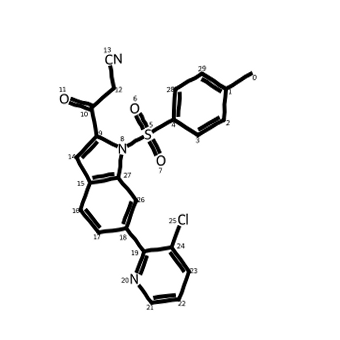 Cc1ccc(S(=O)(=O)n2c(C(=O)CC#N)cc3ccc(-c4ncccc4Cl)cc32)cc1